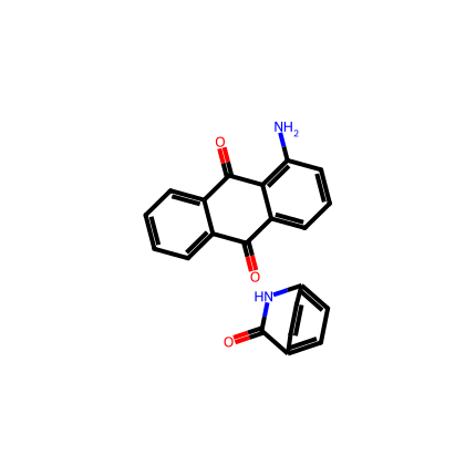 Nc1cccc2c1C(=O)c1ccccc1C2=O.O=c1[nH]c2ccc1cc2